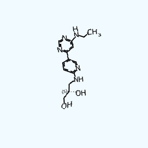 CCNc1cc(-c2ccc(NC[C@H](O)CO)nc2)ncn1